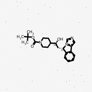 CC(C)(C)OC(=O)N1CCC([C@@H](O)C[C@H]2c3ccccc3-c3cncn32)CC1